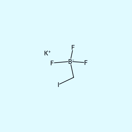 F[B-](F)(F)CI.[K+]